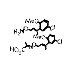 COc1ccc(Cl)cc1C(C)=CCON.COc1ccc(Cl)cc1C(C)=CCON=C(C)C(=O)O